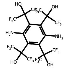 Nc1c(C(O)(C(F)(F)F)C(F)(F)F)c(C(O)(C(F)(F)F)C(F)(F)F)c(N)c(C(O)(C(F)(F)F)C(F)(F)F)c1C(O)(C(F)(F)F)C(F)(F)F